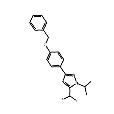 CC(C)n1nc(-c2ccc(OCc3ccccc3)cc2)nc1C(F)F